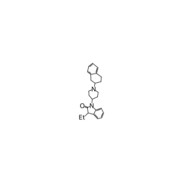 CCC1C(=O)N(C2CCN(C3CCc4ccccc4C3)CC2)c2ccccc21